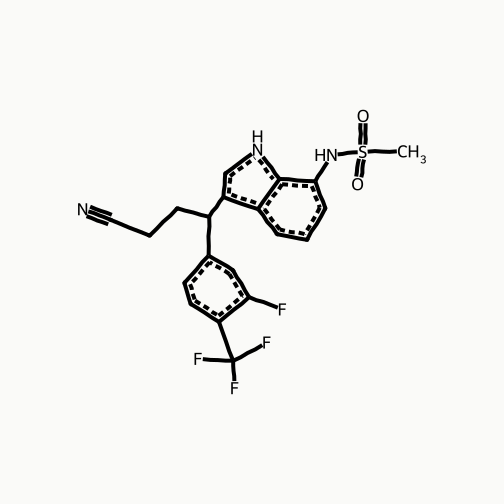 CS(=O)(=O)Nc1cccc2c(C(CCC#N)c3ccc(C(F)(F)F)c(F)c3)c[nH]c12